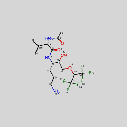 CC(=O)N[C@H](C(=O)N[C@@H](CCCN)C(O)COC(C(F)(F)F)C(F)(F)F)C(C)C